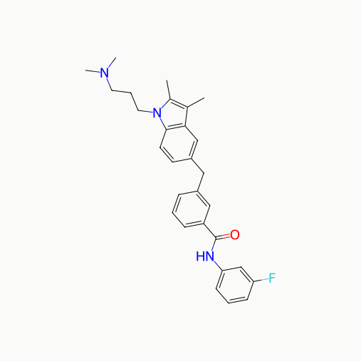 Cc1c(C)n(CCCN(C)C)c2ccc(Cc3cccc(C(=O)Nc4cccc(F)c4)c3)cc12